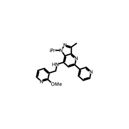 COc1ncccc1CNc1cc(-c2cccnc2)nc2c(C)nn(C(C)C)c12